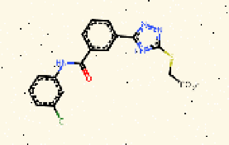 O=C(O)CSc1nnc(-c2cccc(C(=O)Nc3cccc(Cl)c3)c2)[nH]1